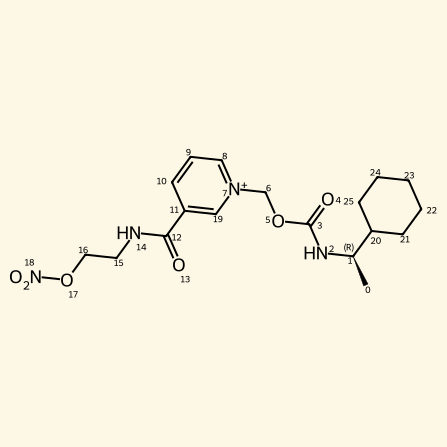 C[C@@H](NC(=O)OC[n+]1cccc(C(=O)NCCO[N+](=O)[O-])c1)C1CCCCC1